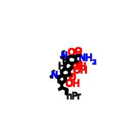 CCC/C=C/C(C)c1cc(N(C)C)c2c(c1O)C(=O)C1=C(O)[C@]3(O)C(=O)C(C(N)=O)=C(O)[C@@H](N(C)C)[C@@H]3C[C@@H]1C2